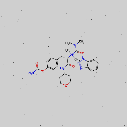 CN(C)C(=[O+]n1nnc2ccccc21)[N+](C)(C)[C@@H](Cc1ccc(OC(N)=O)cc1)C(=O)NC1CCOCC1